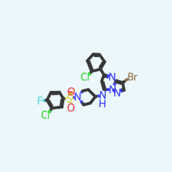 O=S(=O)(c1ccc(F)c(Cl)c1)N1CCC(Nc2cc(-c3ccccc3Cl)nc3c(Br)cnn23)CC1